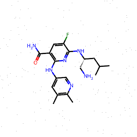 Cc1cc(Nc2nc(N[C@@H](CN)CC(C)C)c(F)cc2C(N)=O)cnc1C